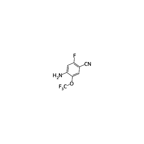 N#Cc1cc(OC(F)(F)F)c(N)cc1F